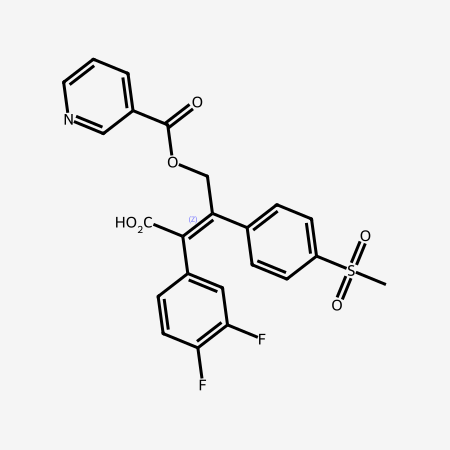 CS(=O)(=O)c1ccc(/C(COC(=O)c2cccnc2)=C(/C(=O)O)c2ccc(F)c(F)c2)cc1